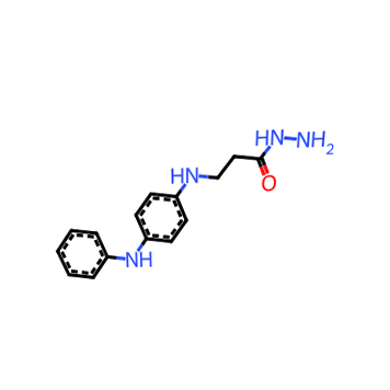 NNC(=O)CCNc1ccc(Nc2ccccc2)cc1